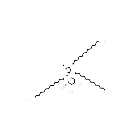 CCCCCCCCCCCCCCCCCCCCCC(=O)OC[C@@]1(O[C@H]2O[C@H](CO)[C@@H](O)[C@H](O)[C@H]2O)O[C@H](CO)[C@@H](OC(=O)CCCCCCCCCCCCCCCCCCCCC)[C@@H]1OC(=O)CCCCCCCCCCCCCCCCCCCCC